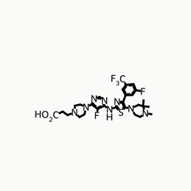 CN1CCN(c2sc(Nc3ncnc(N4CCN(CCC(=O)O)CC4)c3F)nc2-c2cc(F)cc(C(F)(F)F)c2)CC1(C)C